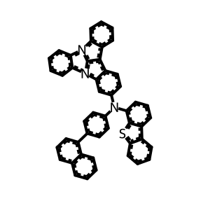 c1ccc2c(-c3ccc(N(c4ccc5c6c7ccccc7n7c8ccccc8n(c5c4)c67)c4cccc5c4sc4ccccc45)cc3)cccc2c1